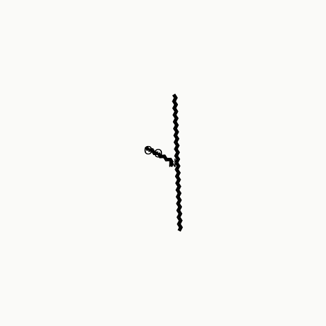 CCCCCCCCCCCCCCCCCCCCC(CCCCCCCCCCCCCCCCCCCC)N(C)CCCCOCCOC